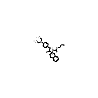 CCN(CC)c1ccc(NC(=O)[C@]2(NC(=O)OCCCl)CCc3ccccc3C2)cc1